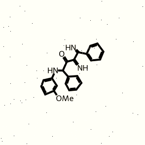 COc1cccc(NC(C(=O)C(=N)C(=N)c2ccccc2)c2ccccc2)c1